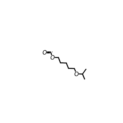 CC(C)OCCCCCO[C]=O